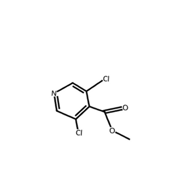 COC(=O)c1c(Cl)cncc1Cl